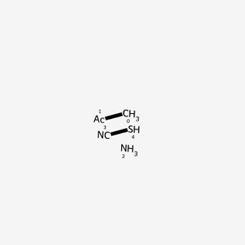 CC(C)=O.N.N#CS